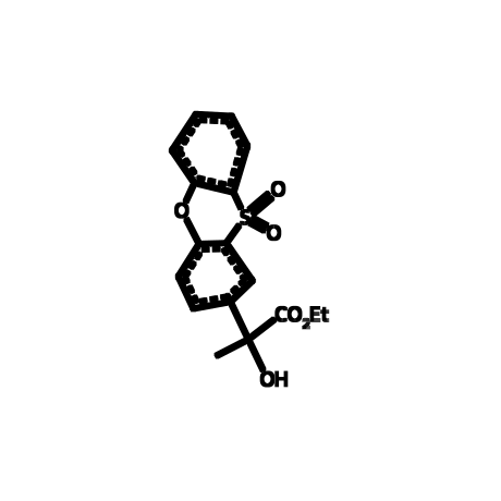 CCOC(=O)C(C)(O)c1ccc2c(c1)S(=O)(=O)c1ccccc1O2